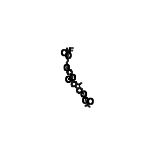 C=C(C)C(=O)OCCOc1ccc2c(c1)C(C)c1cc(C(=O)Oc3ccc(OCCCCOC(=O)C(=C)F)cc3)ccc1-2